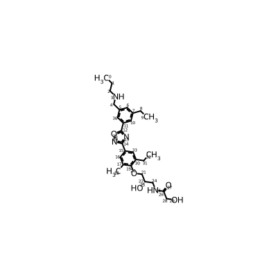 CCCNCc1cc(CC)cc(-c2nc(-c3cc(C)c(OC[C@@H](O)CNC(=O)CO)c(CC)c3)no2)c1